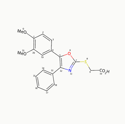 COc1ccc(-c2oc(SCC(=O)O)nc2-c2ccccc2)cc1OC